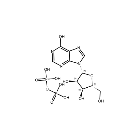 O=P(O)(O)OP(=O)(O)O.OC[C@H]1O[C@@H](n2cnc3c(O)ncnc32)[C@H](O)[C@@H]1O